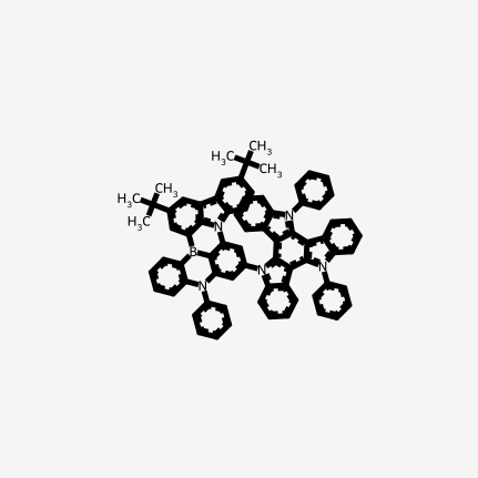 CC(C)(C)c1ccc2c(c1)c1cc(C(C)(C)C)cc3c1n2-c1cc(-n2c4ccccc4c4c5c(c6ccccc6n5-c5ccccc5)c5c(c6ccccc6n5-c5ccccc5)c42)cc2c1B3c1ccccc1N2c1ccccc1